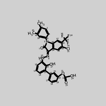 Cc1ccc(N2C(=O)C(=NNc3cccc(-c4cccc(OC(=O)O)c4)c3O)c3cc(Cl)c(C(F)(F)F)cc32)cc1C